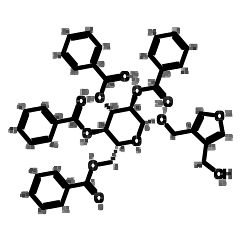 O=C(OC[C@H]1O[C@@H](OCc2cocc2CO)[C@H](OC(=O)c2ccccc2)[C@@H](OC(=O)c2ccccc2)[C@@H]1OC(=O)c1ccccc1)c1ccccc1